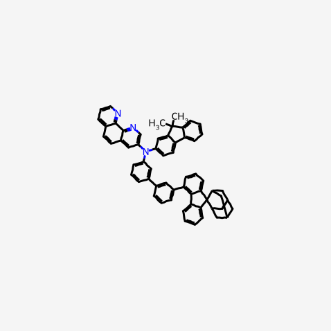 CC1(C)c2ccccc2-c2ccc(N(c3cccc(-c4cccc(-c5cccc6c5-c5ccccc5C65C6CC7CC(C6)CC5C7)c4)c3)c3cnc4c(ccc5cccnc54)c3)cc21